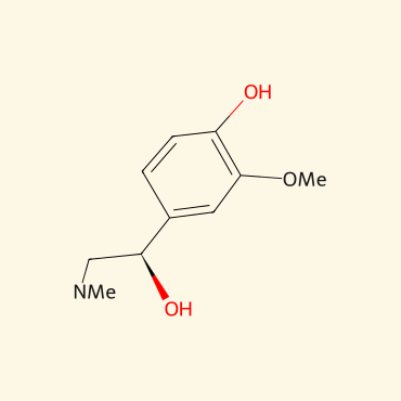 CNC[C@H](O)c1ccc(O)c(OC)c1